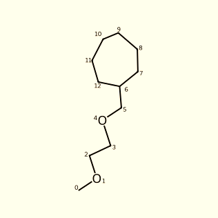 COCCOCC1CCCCCC1